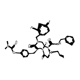 C=CCN1CC(=O)N2[C@@H](Cc3ccc(OC(=O)N(C)C)cc3)C(=O)N(Cc3ccc(F)cc3F)C[C@@H]2N1C(=O)NCc1ccccc1